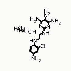 Cl.Cl.Cl.Cl.Nc1ccc(NCCNc2nc(N)c(N)c(N)n2)c(Cl)c1